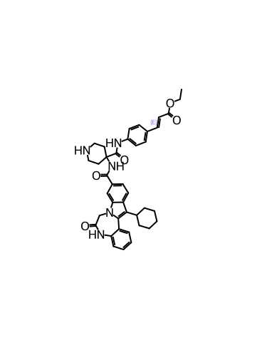 CCOC(=O)/C=C/c1ccc(NC(=O)C2(NC(=O)c3ccc4c(C5CCCCC5)c5n(c4c3)CC(=O)Nc3ccccc3-5)CCNCC2)cc1